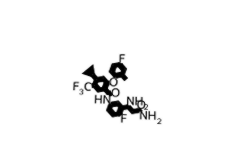 Cc1cc(F)ccc1Oc1cc(C2CC2)c(C(F)(F)F)cc1C(=O)Nc1ccc(F)c(C(N)CC(N)=O)c1